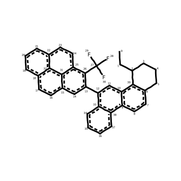 CCC1CCCc2ccc3c(cc(-c4cc5ccc6cccc7ccc(c4C(F)(F)F)c5c67)c4ccccc43)c21